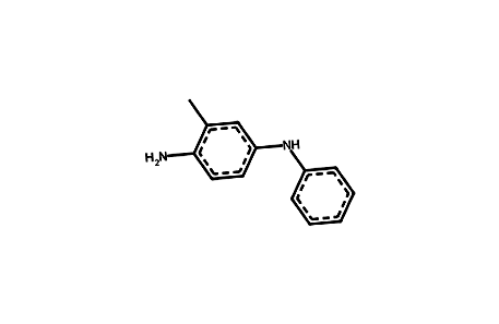 Cc1cc(Nc2ccccc2)ccc1N